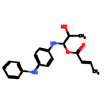 CC=CC(=O)OC(Nc1ccc(Nc2ccccc2)cc1)C(C)O